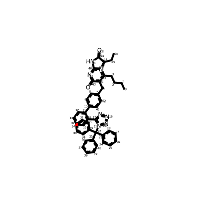 CCCCc1c(Cc2ccc(-c3ccccc3-c3nnnn3C(c3ccccc3)(c3ccccc3)c3ccccc3)cc2)c(=O)nc2n1C(CC)C(=O)N2